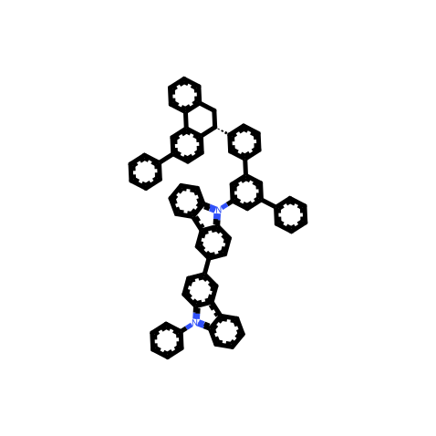 c1ccc(-c2cc(-c3cccc([C@H]4Cc5ccccc5-c5cc(-c6ccccc6)ccc54)c3)cc(-n3c4ccccc4c4cc(-c5ccc6c(c5)c5ccccc5n6-c5ccccc5)ccc43)c2)cc1